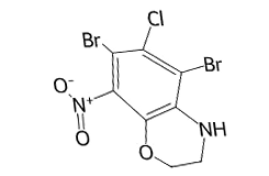 O=[N+]([O-])c1c(Br)c(Cl)c(Br)c2c1OCCN2